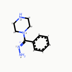 N/N=C(\c1ccccc1)N1CCNCC1